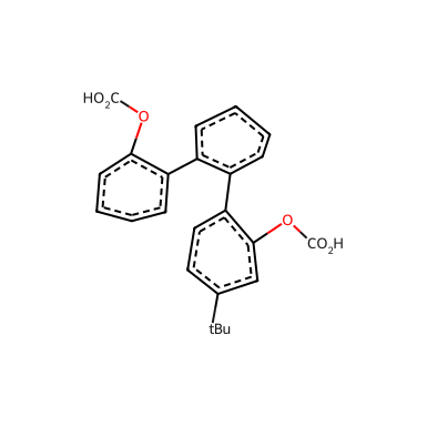 CC(C)(C)c1ccc(-c2ccccc2-c2ccccc2OC(=O)O)c(OC(=O)O)c1